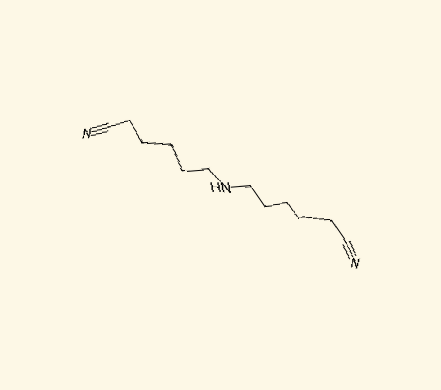 N#CCCCCCNCCCCCC#N